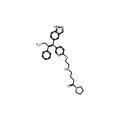 O=C(CCCNCCOc1ccc(/C(=C(/CC(F)(F)F)c2ccccc2)c2ccc3[nH]ncc3c2)cn1)N1CCCC1